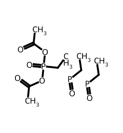 CCP(=O)(OC(C)=O)OC(C)=O.CCP=O.CCP=O